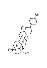 CC(=O)c1ccc([C@H]2CC[C@]3(C)[C@H]4CC[C@@H]5[C@H]6[C@H](C(C)C)CC[C@]6(N=O)CC[C@@]5(C)[C@]4(C)CC[C@H]3C2(C)C)cc1